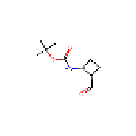 CC(C)(C)OC(=O)NC1CCC1C=O